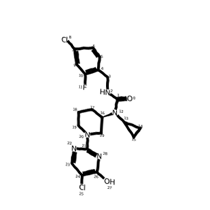 O=C(NCc1ccc(Cl)cc1F)N(C1CC1)[C@@H]1CCCN(c2ncc(Cl)c(O)n2)C1